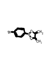 C=C1OB(c2ccc(Br)cc2)OC1=C